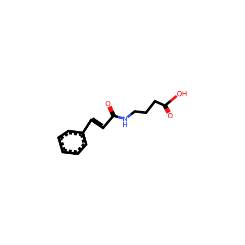 O=C(O)CCCNC(=O)C=Cc1ccccc1